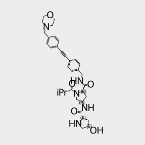 CC(C)C(=O)N1C[C@H](NC(=O)[C@@H]2C[C@H](O)CN2)C[C@@H]1C(=O)NCc1ccc(C#Cc2ccc(CN3CCOCC3)cc2)cc1